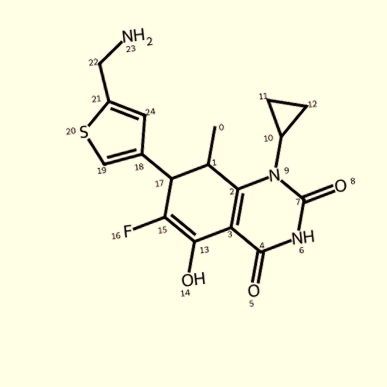 CC1c2c(c(=O)[nH]c(=O)n2C2CC2)C(O)=C(F)C1c1csc(CN)c1